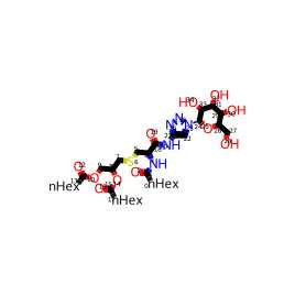 CCCCCCC(=O)NC(CSCC(COC(=O)CCCCCC)OC(=O)CCCCCC)C(=O)Nc1cn([C@H]2OC(CO)C(O)C(O)C2O)nn1